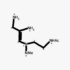 CNN(/C=C(\N)CN)CCNC(C)=O